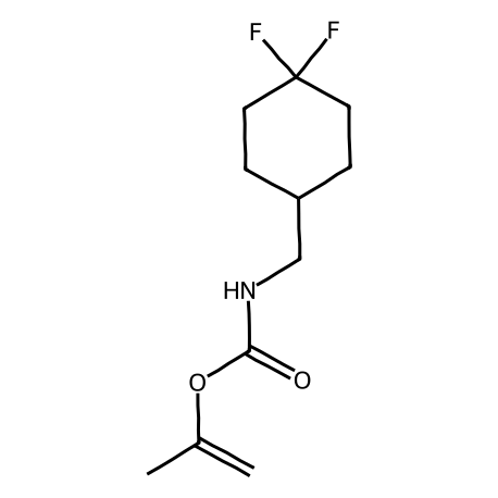 C=C(C)OC(=O)NCC1CCC(F)(F)CC1